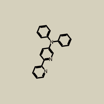 c1ccc(N(c2ccccc2)c2ccc(-c3ccccn3)nc2)cc1